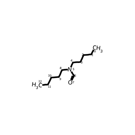 CCCCCN([C]=O)CCCCC